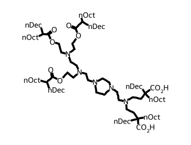 CCCCCCCCCCC(CCCCCCCC)C(=O)OCCN(CCOC(=O)C(CCCCCCCC)CCCCCCCCCC)CCN(CCOC(=O)C(CCCCCCCC)CCCCCCCCCC)CCN1CCN(CCN(CCC(CCCCCCCC)(CCCCCCCCCC)C(=O)O)CCC(CCCCCCCC)(CCCCCCCCCC)C(=O)O)CC1